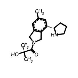 Cc1cc2c(c([C@@H]3CCCN3)c1)CN(C(=O)[C@@](C)(O)C(F)(F)F)C2